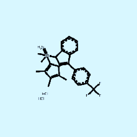 CC1=C(C)C(C)[C]([Zr]([CH3])([CH3])(=[SiH2])[CH]2C=C(c3ccc(C(F)(F)F)cc3)c3ccccc32)=C1C.Cl.Cl